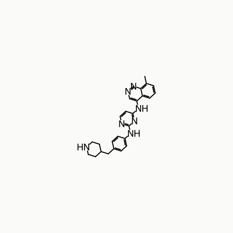 Cc1cccc2c(Nc3ccnc(Nc4ccc(CC5CCNCC5)cc4)n3)cnnc12